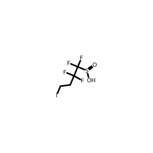 O=S(O)C(F)(F)C(F)(F)CCI